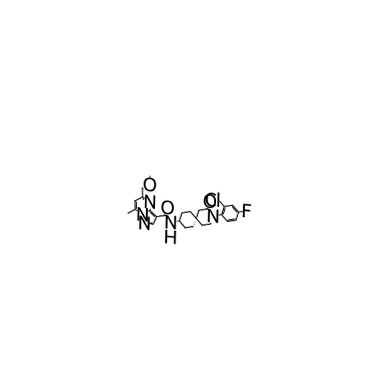 COCc1cc(C)n2ncc(C(=O)N[C@H]3CC[C@]4(CCN(c5ccc(F)cc5Cl)C(=O)C4)CC3)c2n1